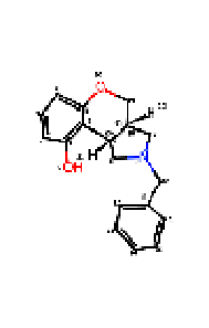 Oc1cccc2c1[C@H]1CN(Cc3ccccc3)C[C@H]1CO2